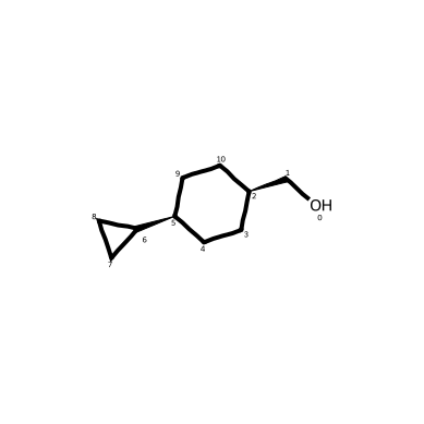 OC[C@H]1CC[C@@H](C2CC2)CC1